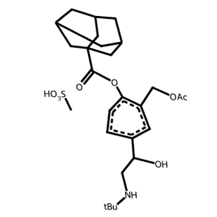 CC(=O)OCc1cc(C(O)CNC(C)(C)C)ccc1OC(=O)C12CC3CC(CC(C3)C1)C2.CS(=O)(=O)O